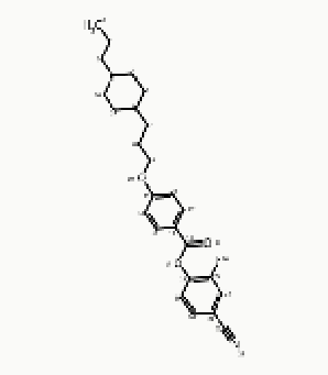 CCCC1CCC(CCCOc2ccc(C(=O)Oc3ccc(C#N)cc3F)cc2)CC1